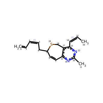 C=C/C=C\CC1C=Cc2nc(C)nc(/C=C\C)c2CS1